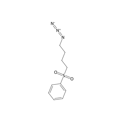 [N-]=[N+]=NCCCCS(=O)(=O)c1ccccc1